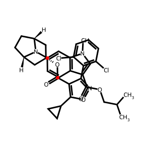 CC(C)COC(=O)c1cn(C)c2cc(N3[C@@H]4CC[C@H]3C[C@@H](OC(=O)c3c(-c5c(Cl)cccc5Cl)noc3C3CC3)C4)ccc12